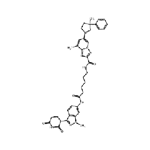 Cc1cc(N2CC[C@](C)(c3ccccc3)C2)cn2nc(C(=O)NCCCCCC(=O)Nc3ccc4c(C5CCC(=O)NC5=O)nn(C)c4c3)nc12